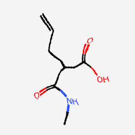 C=CCC(C(=O)O)C(=O)NC